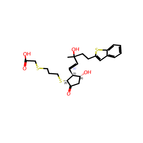 CC(O)(/C=C/[C@H]1[C@H](O)CC(=O)[C@@H]1SCCCSCC(=O)O)CCc1cc2ccccc2s1